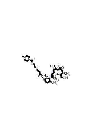 CO[C@H]([C@@H](C)[C@H]1O[C@]1(C)C[C@H](C)/C=C/C=C(\C)[C@H]1O[C@@H](CNC(=O)CCOCCOC(=O)N2CCN(I)CC2)CC[C@@H]1C)[C@@H](C)O